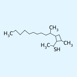 CCCCCCCCCC(C)C1CC(C)C1C(C)S